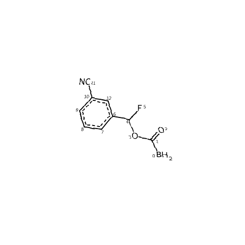 BC(=O)OC(F)c1cccc(C#N)c1